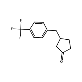 O=C1CCC(Cc2ccc(C(F)(F)F)cc2)C1